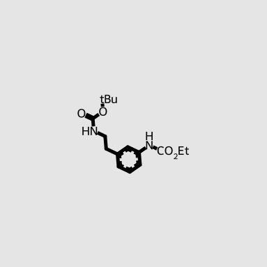 CCOC(=O)Nc1cccc(CCNC(=O)OC(C)(C)C)c1